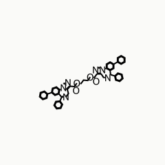 O=C(OCCCOC(=O)c1ncn2c1CN=C(c1ccccc1)c1cc(-c3ccccc3)ccc1-2)c1ncn2c1CN=C(c1ccccc1)c1cc(-c3ccccc3)ccc1-2